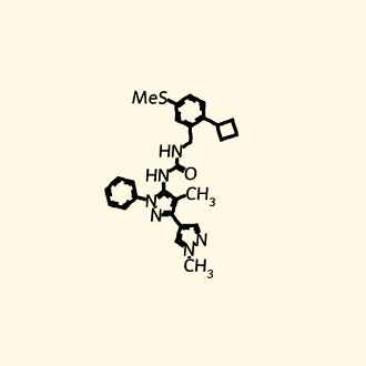 CSc1ccc(C2CCC2)c(CNC(=O)Nc2c(C)c(-c3cnn(C)c3)nn2-c2ccccc2)c1